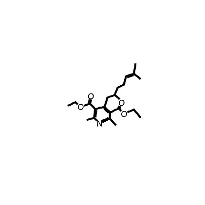 CCOC(=O)c1c(C)nc(C)c(C(=O)OCC)c1CC(C)CCC=C(C)C